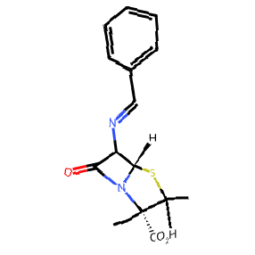 CC1(C)S[C@H]2C(N=Cc3ccccc3)C(=O)N2[C@@]1(C)C(=O)O